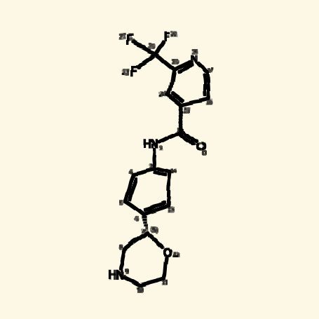 O=C(Nc1ccc([C@H]2CNCCO2)cc1)c1ccnc(C(F)(F)F)c1